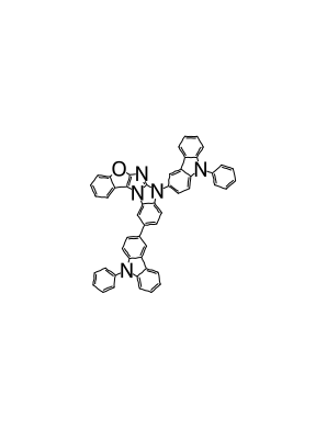 c1ccc(-n2c3ccccc3c3cc(-c4ccc5c(c4)n4c6c(nc4n5-c4ccc5c(c4)c4ccccc4n5-c4ccccc4)oc4ccccc46)ccc32)cc1